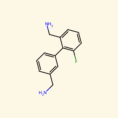 NCc1[c]ccc(-c2c(F)cccc2CN)c1